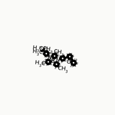 Cc1ccc2c(c1)N(c1ccc(-c3cccc4c3oc3ccccc34)cc1)c1cc(C)cc3c1B2c1ccc(C)cc1N3c1ccc(C(C)(C)C)cc1